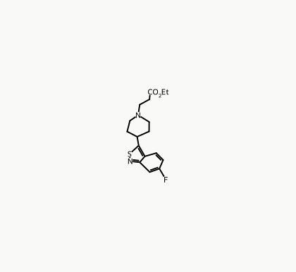 CCOC(=O)CCN1CCC(c2snc3cc(F)ccc23)CC1